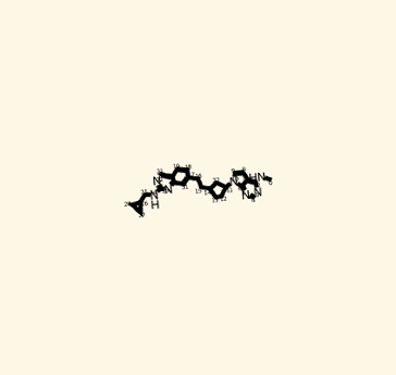 CNc1ncnc2c1ccn2C1CCC(CCc2ccc3cnc(NCC4CC4)nc3c2)C1